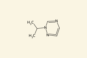 CC(C)N1C=NC=C=N1